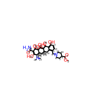 COC(=O)C1CCN(Cc2ccc(O)c3c2C[C@H]2C[C@H]4[C@H](N(C)C)C(O)=C(C(N)=O)C(=O)[C@@]4(O)C(O)=C2C3=O)CC1